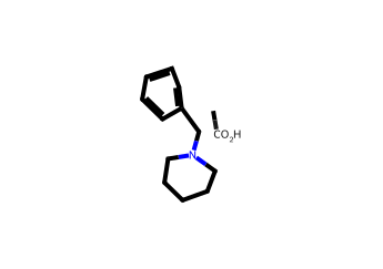 CC(=O)O.c1ccc(CN2CCCCC2)cc1